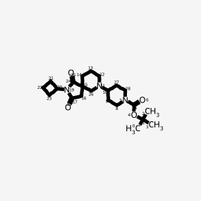 CC(C)(C)OC(=O)N1CCC(N2CCCC3(CC(=O)N(C4CCC4)C3=O)C2)CC1